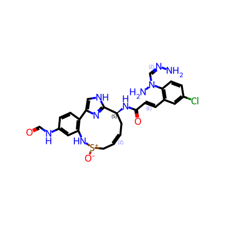 N/N=C\N(N)c1ccc(Cl)cc1/C=C/C(=O)N[C@H]1C/C=C\C[S+]([O-])Nc2cc(NC=O)ccc2-c2c[nH]c1n2